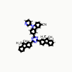 CC1(C)c2ccccc2-c2ccc(-c3nc(-c4ccc5c(c4)C(C)(C)c4ccccc4-5)nc(-c4ccc5c(c4)c4cc(C#N)ccc4n5-c4cccnc4)n3)cc21